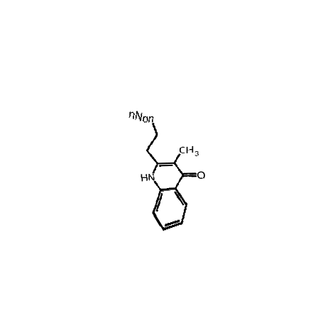 CCCCCCCCCCCc1[nH]c2ccccc2c(=O)c1C